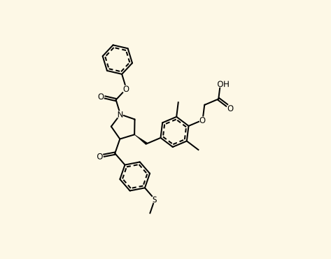 CSc1ccc(C(=O)C2CN(C(=O)Oc3ccccc3)C[C@H]2Cc2cc(C)c(OCC(=O)O)c(C)c2)cc1